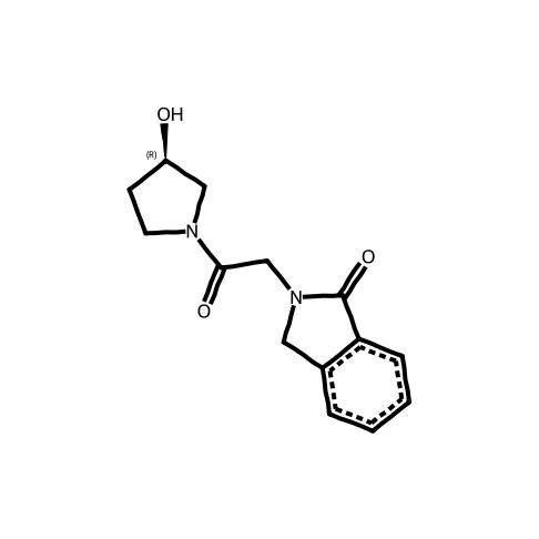 O=C(CN1Cc2ccccc2C1=O)N1CC[C@@H](O)C1